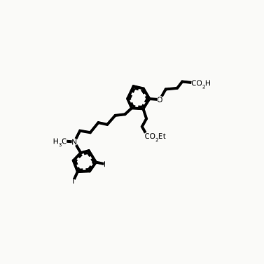 CCOC(=O)CCc1c(CCCCCCN(C)c2cc(I)cc(I)c2)cccc1OCCCC(=O)O